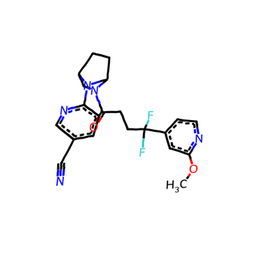 COc1cc(C(F)(F)CCC(=O)N2CC3CCC2N3c2ccc(C#N)cn2)ccn1